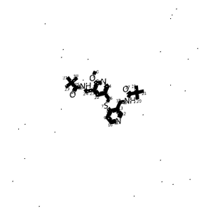 COc1ncc(CSc2ccncc2CNC(=O)C(C)(C)C)cc1CNC(=O)C(C)(C)C